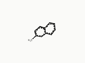 Cc1[c]c2ccc[c]c2cc1